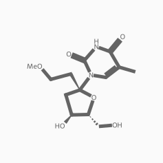 COCC[C@]1(n2cc(C)c(=O)[nH]c2=O)C[C@H](O)[C@@H](CO)O1